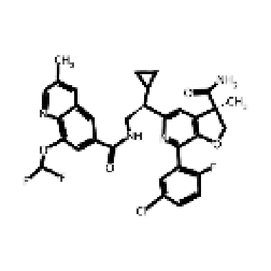 Cc1cnc2c(OC(F)F)cc(C(=O)NC[C@H](c3cc4c(c(-c5cc(Cl)ccc5F)n3)OC[C@]4(C)C(N)=O)C3CC3)cc2c1